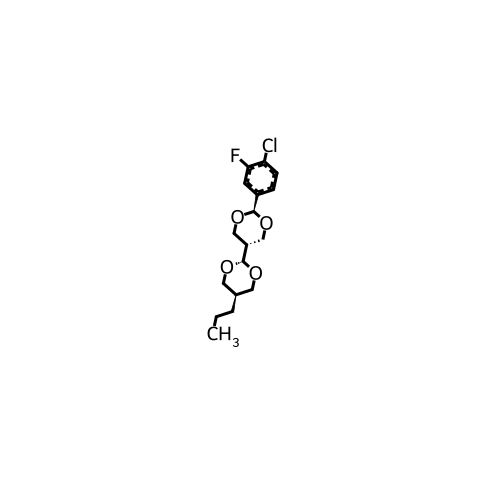 CCC[C@H]1CO[C@H]([C@H]2CO[C@H](c3ccc(Cl)c(F)c3)OC2)OC1